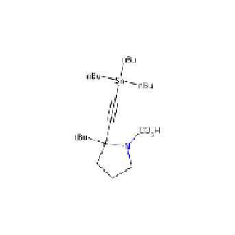 CCC[CH2][Sn]([C]#CC1(C(C)(C)C)CCCN1C(=O)O)([CH2]CCC)[CH2]CCC